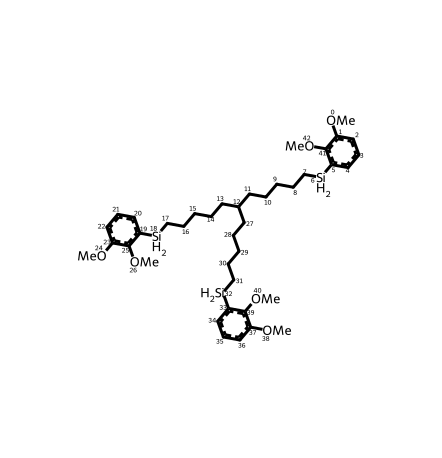 COc1cccc([SiH2]CCCCCC(CCCCC[SiH2]c2cccc(OC)c2OC)CCCCC[SiH2]c2cccc(OC)c2OC)c1OC